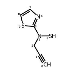 C#CCN(S)c1nccs1